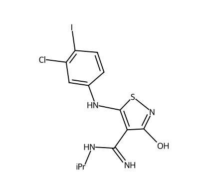 CC(C)NC(=N)c1c(O)nsc1Nc1ccc(I)c(Cl)c1